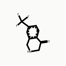 O=C1CNCc2cc(C(F)(F)F)ccc21